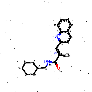 N#C/C(=C\c1ccc2ccccc2n1)C(=O)NCC1CCCCC1